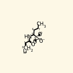 C=CC(=O)NC(CCC)S(=O)(=O)[O-].[Li+]